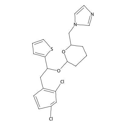 Clc1ccc(CC(OC2CCCC(Cn3ccnc3)O2)c2cccs2)c(Cl)c1